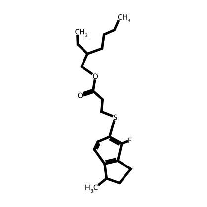 CCCCC(CC)COC(=O)CCSc1ccc2c(c1F)CCC2C